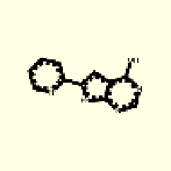 Oc1ncnc2[nH]c(-c3ccccn3)cc12